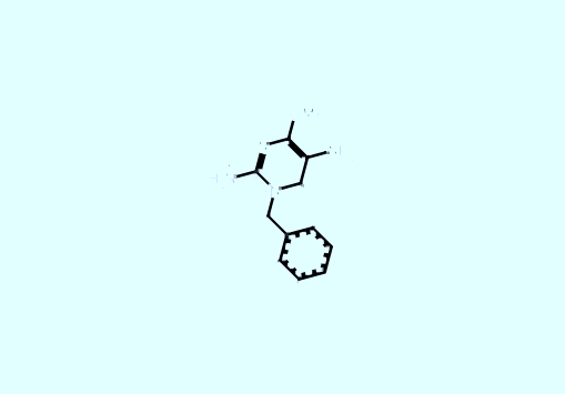 COC1=C(N)[CH]N(Cc2ccccc2)C(N)=N1